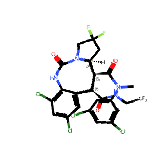 CN(C(=O)[C@H]1[C@@H](C(=O)NCC(F)(F)F)c2cc(Cl)cc(Cl)c2NC(=O)N2CC(F)(F)C[C@@H]12)c1cc(Cl)cc(Cl)c1